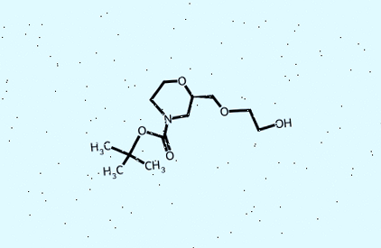 CC(C)(C)OC(=O)N1CCO[C@@H](COCCO)C1